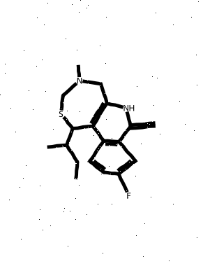 C=C1NC2=C(c3ccc(F)cc31)C(C(C)CC)SCN(C)C2